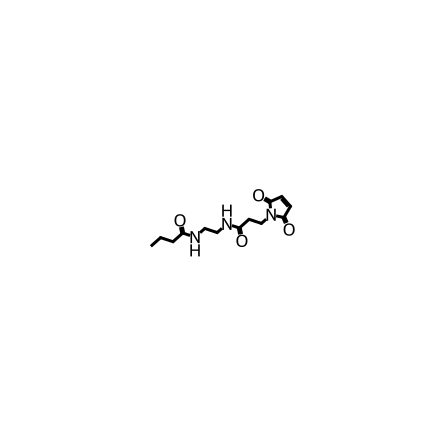 CCCC(=O)NCCNC(=O)CCN1C(=O)C=CC1=O